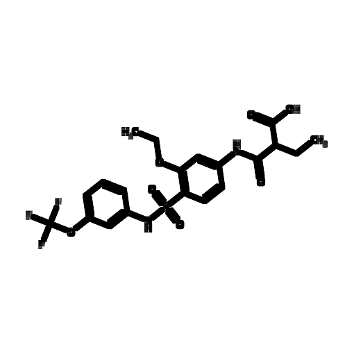 CCOc1cc(NC(=O)C(CC)C(=O)O)ccc1S(=O)(=O)Nc1cccc(OC(F)(F)F)c1